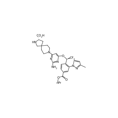 CCCOC(=O)c1ccc([C@@H](Oc2cc(N3CCC4(CC3)CN[C@H](C(=O)O)C4)nc(N)n2)C(F)(F)F)c(-n2ccc(C)n2)c1